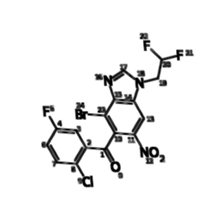 O=C(c1cc(F)ccc1Cl)c1c([N+](=O)[O-])cc2c(ncn2CC(F)F)c1Br